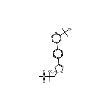 CC(C)(O)c1cc(-c2ccc(C3=NOC(CC(C)(C(=O)O)S(C)(=O)=O)C3)cc2)ccn1